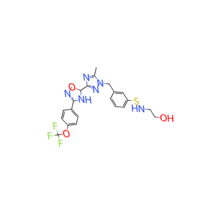 Cc1nc(C2NC(c3ccc(OC(F)(F)F)cc3)=NO2)nn1Cc1cccc(SNCCO)c1